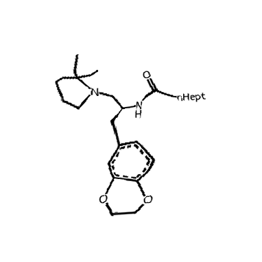 CCCCCCCC(=O)N[C@@H](Cc1ccc2c(c1)OCCO2)CN1CCCC1(C)C